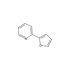 [c]1ccc(-c2ccccn2)o1